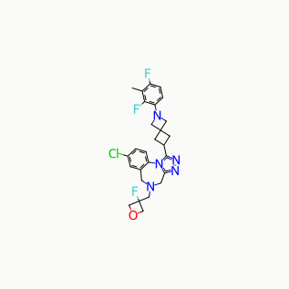 Cc1c(F)ccc(N2CC3(CC(c4nnc5n4-c4ccc(Cl)cc4CN(CC4(F)COC4)C5)C3)C2)c1F